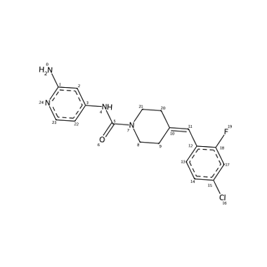 Nc1cc(NC(=O)N2CCC(=Cc3ccc(Cl)cc3F)CC2)ccn1